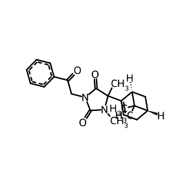 CN1C(=O)N(CC(=O)c2ccccc2)C(=O)C1(C)C1=CC[C@H]2C[C@H]1C2(C)C